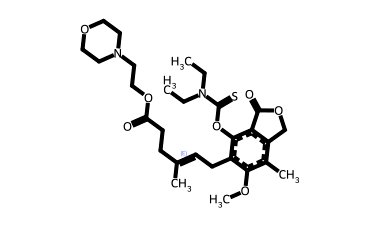 CCN(CC)C(=S)Oc1c(C/C=C(\C)CCC(=O)OCCN2CCOCC2)c(OC)c(C)c2c1C(=O)OC2